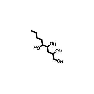 CCCCC(O)C(O)CC(O)CO